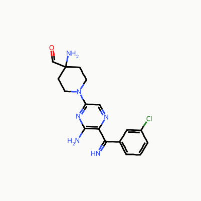 N=C(c1cccc(Cl)c1)c1ncc(N2CCC(N)(C=O)CC2)nc1N